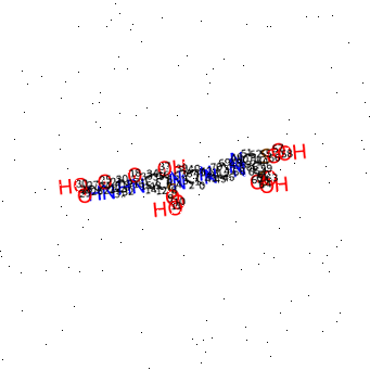 Cc1cc(N=Nc2c(SOOO)cc3cc(NC(=O)c4ccc(NC(=O)CCC(=O)O)cc4)ccc3c2O)c(C)cc1N=Nc1ccc(-n2nc3ccc4c(SOOO)cc(S(=O)(=O)O)cc4c3n2)cc1